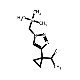 CC(C)C1(c2cn(C[Si](C)(C)C)nn2)CC1